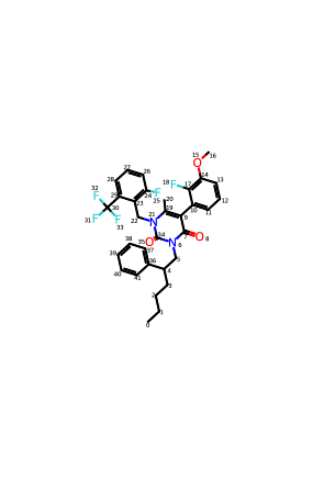 CCCCC(Cn1c(=O)c(-c2cccc(OC)c2F)c(C)n(Cc2c(F)cccc2C(F)(F)F)c1=O)c1ccccc1